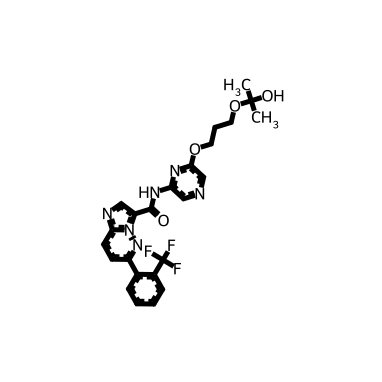 CC(C)(O)OCCCOc1cncc(NC(=O)c2cnc3ccc(-c4ccccc4C(F)(F)F)nn23)n1